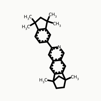 CC1(C)CC(C)(C)c2cc(-c3cc4cc5c(cc4cn3)C3(C)CCC5(C)C3)ccc21